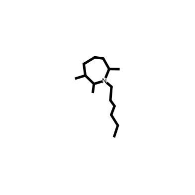 CCCCCCN1C(C)CCCC(C)C1C